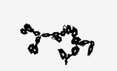 C=C/C=C(\C=C(/C)c1ccc(N(c2ccc(-c3cccc(-c4ccc5oc6c(c5c4)=C=C=C(c4ccc(-c5ccc(N(c7ccc(-c8cccc(-c9ccccc9)c8)cc7)c7ccc(-c8cccc9ccccc89)cc7)cc5)c5oc7ccccc7c45)C=6)c3)cc2)c2ccc(-c3cccc4ccccc34)cc2)cc1)c1ccccc1